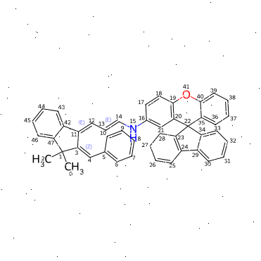 CC1(C)C(=C/c2ccccc2)/C(=C\C=C\Nc2ccc3c(c2)C2(C4=C(C=CCC4)c4ccccc42)c2ccccc2O3)c2ccccc21